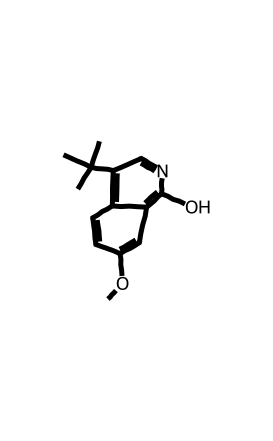 COc1ccc2c(C(C)(C)C)cnc(O)c2c1